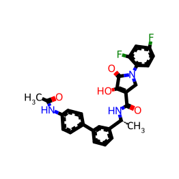 CC(=O)Nc1ccc(-c2cccc([C@@H](C)NC(=O)C3=C(O)C(=O)N(c4ccc(F)cc4F)C3)c2)cc1